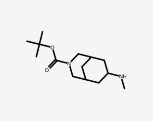 CNC1CC2CC(C1)CN(C(=O)OC(C)(C)C)C2